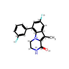 Cc1c2n(c3c(-c4cccc(F)c4)cc(F)cc13)CCNC2=O